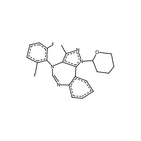 Cc1nn(C2CCCCO2)c2c1N(c1c(F)cccc1F)C=Nc1ccccc1-2